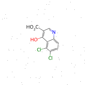 O=C(O)c1cnc2ccc(Cl)c(Cl)c2c1O